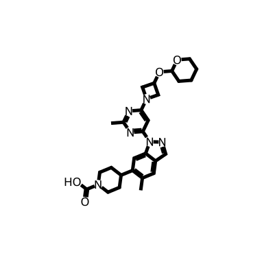 Cc1nc(N2CC(OC3CCCCO3)C2)cc(-n2ncc3cc(C)c(C4CCN(C(=O)O)CC4)cc32)n1